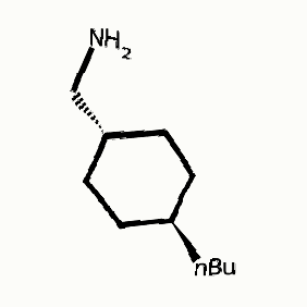 CCCC[C@H]1CC[C@H](CN)CC1